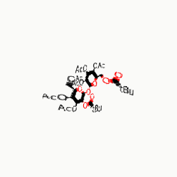 CC(=O)OC[C@H]1O[C@H](O[C@H]2O[C@H](COC(=O)C(C)(C)C)[C@@H](OC(C)=O)[C@H](OC(C)=O)[C@H]2OC(C)=O)[C@H](OC(=O)C(C)(C)C)[C@@H](OC(C)=O)[C@@H]1OC(C)=O